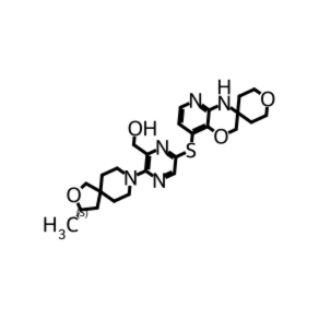 C[C@H]1CC2(CCN(c3ncc(Sc4ccnc5c4OCC4(CCOCC4)N5)nc3CO)CC2)CO1